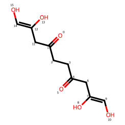 O=C(CCC(=O)CC(O)=CO)CC(O)=CO